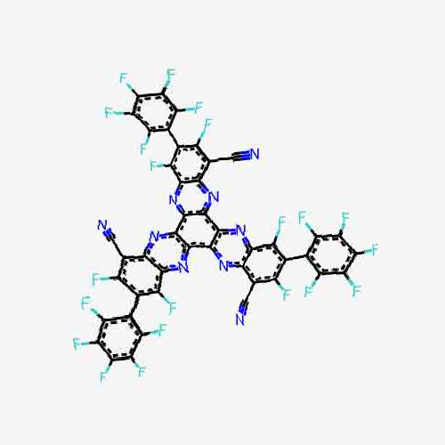 N#Cc1c(F)c(-c2c(F)c(F)c(F)c(F)c2F)c(F)c2nc3c4nc5c(C#N)c(F)c(-c6c(F)c(F)c(F)c(F)c6F)c(F)c5nc4c4nc5c(C#N)c(F)c(-c6c(F)c(F)c(F)c(F)c6F)c(F)c5nc4c3nc12